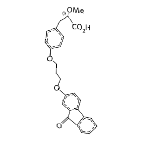 CO[C@@H](Cc1ccc(OCCCOc2ccc3c(c2)C(=O)c2ccccc2-3)cc1)C(=O)O